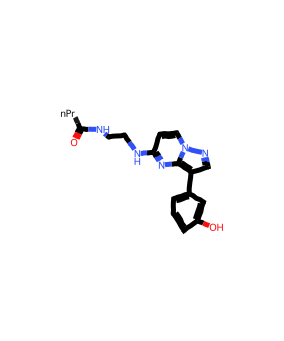 CCCC(=O)NCCNc1ccn2ncc(-c3cccc(O)c3)c2n1